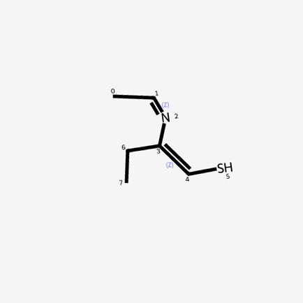 C/C=N\C(=C/S)CC